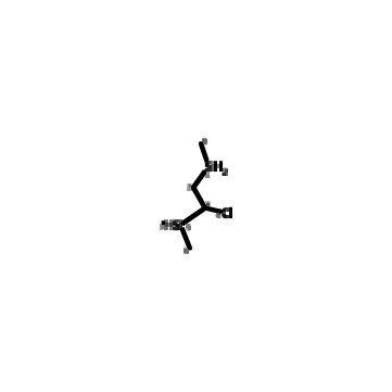 C[SiH2]CC(Cl)[SiH](C)C